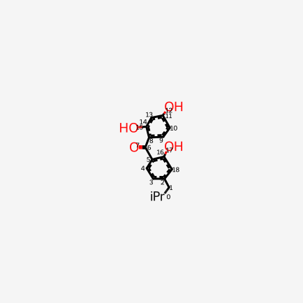 CC(C)Cc1ccc(C(=O)c2ccc(O)cc2O)c(O)c1